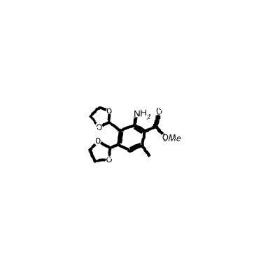 COC(=O)c1c(C)cc(C2OCCO2)c(C2OCCO2)c1N